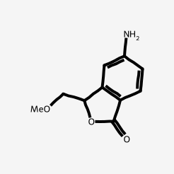 COCC1OC(=O)c2ccc(N)cc21